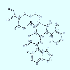 C=CC(=O)N1CC2COc3c(c4cc(F)c(-c5c(C)ccc6[nH]cnc56)nc4n(-c4ccccc4C(C)C)c3=O)N2CC1C